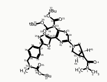 CN(C)C(=O)C1[C@H]2CN(c3cnc(N(C(=O)OC(C)(C)C)C(=O)OC(C)(C)C)c(-c4nnc(-c5ccc(CN(C)C(=O)OC(C)(C)C)cc5)o4)n3)C[C@@H]12